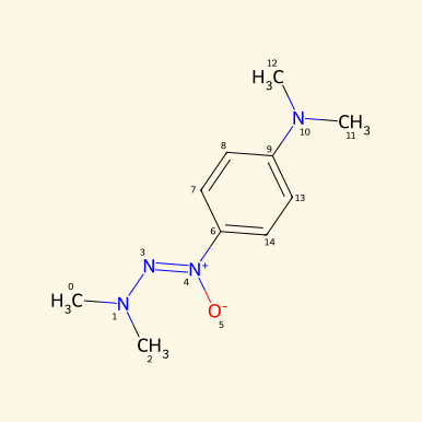 CN(C)N=[N+]([O-])c1ccc(N(C)C)cc1